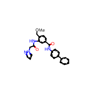 COCc1ccc(C(=O)Nc2ccc(-c3ccccc3)cc2)cc1NC(=O)Cn1cccn1